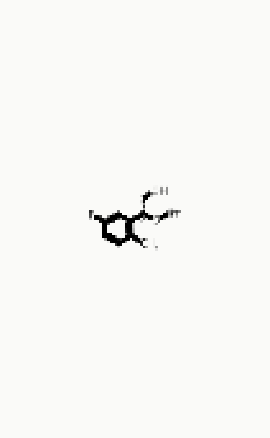 Cc1ccc(F)cc1[C@H](CO)OC(C)C